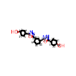 Oc1ccc(-c2nnc(-c3cccc(-c4nnc(-c5ccc(O)cc5)o4)c3)o2)cc1